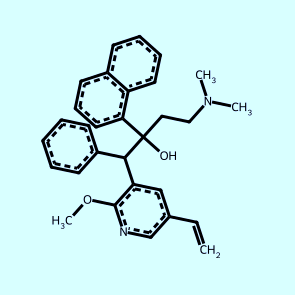 C=Cc1cnc(OC)c(C(c2ccccc2)C(O)(CCN(C)C)c2cccc3ccccc23)c1